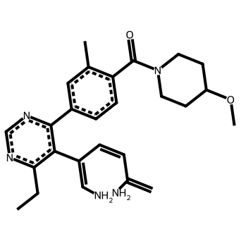 C=C(N)/C=C\C(=C/N)c1c(CC)ncnc1-c1ccc(C(=O)N2CCC(OC)CC2)c(C)c1